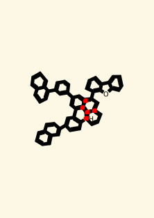 c1ccc(-c2ccc(-c3cccc(-c4cccc5ccccc45)c3)cc2-c2cc(-c3ccc4ccccc4c3)ccc2Nc2ccc(-c3cccc4c3oc3ccccc34)cc2)cc1